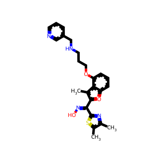 Cc1nc(C(=NO)c2oc3cccc(OCCCNCc4cccnc4)c3c2C)sc1C